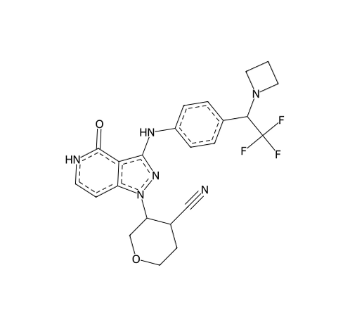 N#CC1CCOCC1n1nc(Nc2ccc(C(N3CCC3)C(F)(F)F)cc2)c2c(=O)[nH]ccc21